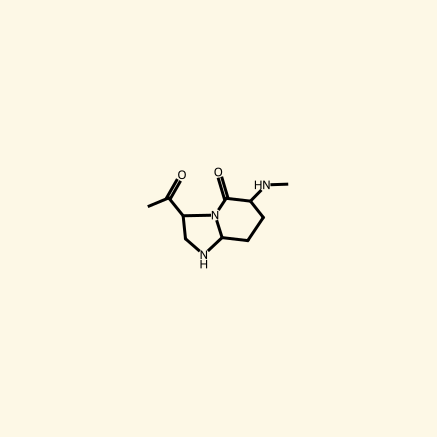 CNC1CCC2NCC(C(C)=O)N2C1=O